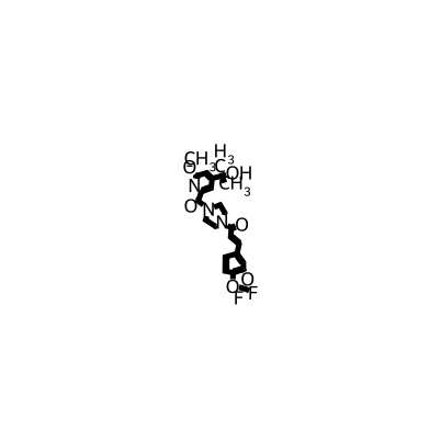 COc1cc(C(C)(C)O)cc(C(=O)N2CCN(C(=O)/C=C/c3ccc4c(c3)OC(F)(F)O4)CC2)n1